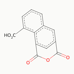 O=C1OC(=O)c2cc1cc1cccc(C(=O)O)c21